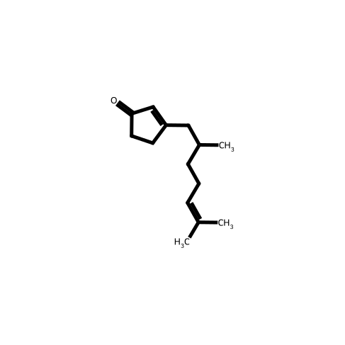 CC(C)=CCCC(C)CC1=CC(=O)CC1